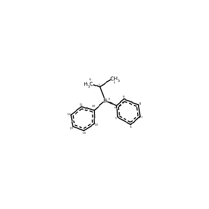 C[CH](C)[Bi]([c]1ccccc1)[c]1ccccc1